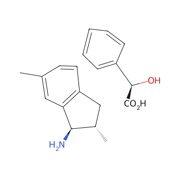 Cc1ccc2c(c1)[C@H](N)[C@@H](C)C2.O=C(O)[C@H](O)c1ccccc1